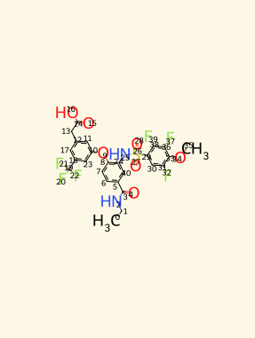 CCNC(=O)c1ccc(Oc2cc(CC(=O)O)cc(C(F)(F)F)c2)c(NS(=O)(=O)c2cc(F)c(OC)c(F)c2F)c1